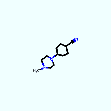 CN1CCN(C2CCC(C#N)CC2)CC1